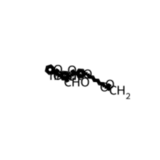 C=CC(=O)OCCCCCCOc1ccc(C(=O)Oc2ccc(OC(=O)C3(CCCCC)CCCCC3)cc2C=O)cc1